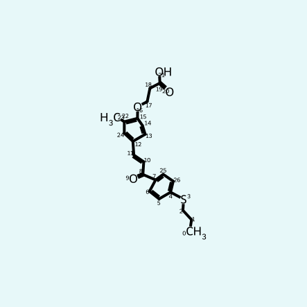 CCCSc1ccc(C(=O)C=Cc2ccc(OCCC(=O)O)c(C)c2)cc1